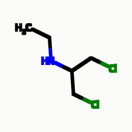 CCNC(CCl)CCl